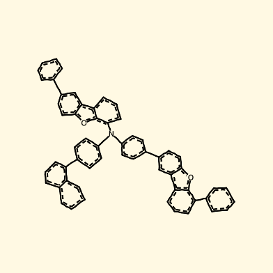 c1ccc(-c2ccc3oc4c(N(c5ccc(-c6ccc7oc8c(-c9ccccc9)cccc8c7c6)cc5)c5ccc(-c6cccc7ccccc67)cc5)cccc4c3c2)cc1